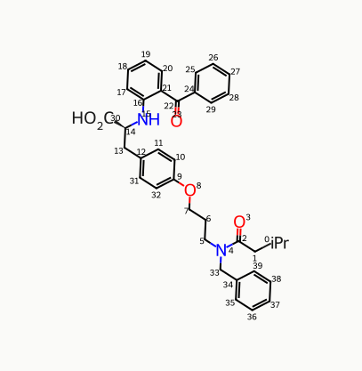 CC(C)CC(=O)N(CCCOc1ccc(C[C@H](Nc2ccccc2C(=O)c2ccccc2)C(=O)O)cc1)Cc1ccccc1